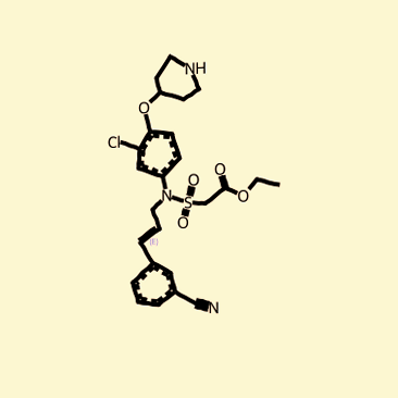 CCOC(=O)CS(=O)(=O)N(C/C=C/c1cccc(C#N)c1)c1ccc(OC2CCNCC2)c(Cl)c1